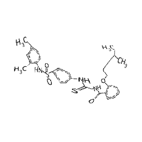 Cc1ccc(NS(=O)(=O)c2ccc(NC(=S)NC(=O)c3ccccc3OCCC(C)C)cc2)c(C)c1